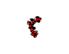 COC(C)(OC)C(=O)c1ccccc1.Cc1ccc(OC(Oc2ccc(C)cc2)C(=O)c2ccccc2)cc1.O=C(c1ccccc1)C(Oc1ccccc1)(Oc1ccccc1)c1ccccc1.O=C(c1ccccc1)C(c1ccccc1Cl)c1ccccc1Cl.O=C(c1ccccc1)C(c1ccccc1[N+](=O)[O-])c1ccccc1[N+](=O)[O-]